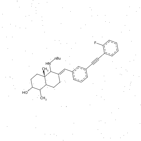 CCCCNC1/C(=C/c2cccc(C#Cc3ccccc3F)c2)CCC2C(C)C(O)CC[C@]12C